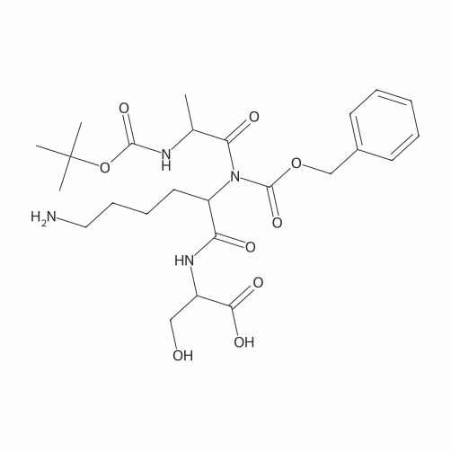 CC(NC(=O)OC(C)(C)C)C(=O)N(C(=O)OCc1ccccc1)C(CCCCN)C(=O)NC(CO)C(=O)O